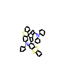 c1ccc(N(c2ccc3c(c2)Sc2ccccc2S3)c2ccc3c(c2)C2(c4ccccc4S3)c3ccccc3-c3c(N(c4ccccc4)c4ccccc4)cccc32)cc1